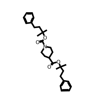 CC(C)(CCc1ccccc1)OC(=O)C1CCN(C(=O)OC(C)(C)CCc2ccccc2)CC1